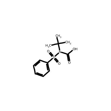 CC(C)(C)N(C(=O)O)S(=O)(=O)c1ccccc1